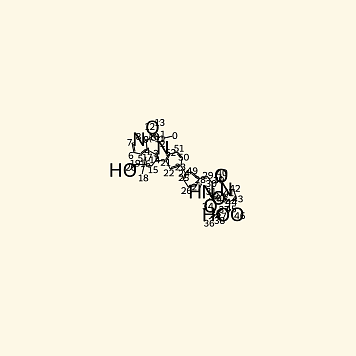 CCn1c(-c2cccnc2[C@H](C)OC)c(CC(C)(C)CO)c2cc(-c3cccc(CC(NC(=O)OC(C)(C)C)C(=O)N4CCC(C(=O)O)C4)c3)ccc21